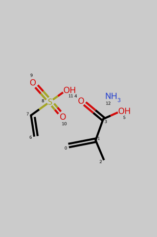 C=C(C)C(=O)O.C=CS(=O)(=O)O.N